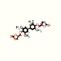 Cc1cc(-c2cc(C)c(OCC3CSC(=S)O3)c(C)c2)cc(C)c1OCC1CSC(=S)O1